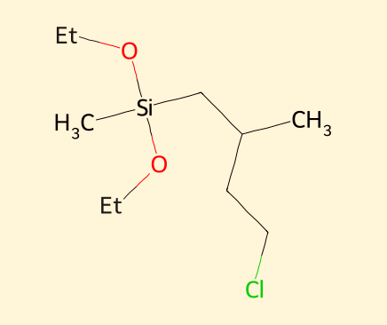 CCO[Si](C)(CC(C)CCCl)OCC